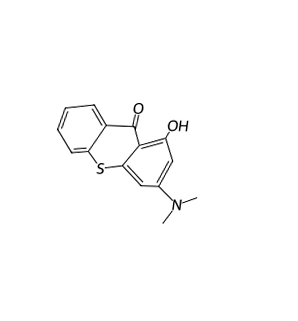 CN(C)c1cc(O)c2c(=O)c3ccccc3sc2c1